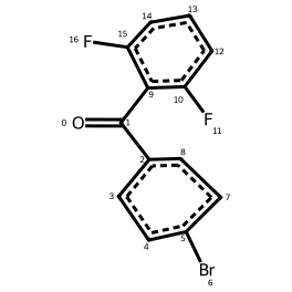 O=C(c1ccc(Br)cc1)c1c(F)cccc1F